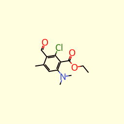 CCOC(=O)c1c(N(C)C)cc(C)c(C=O)c1Cl